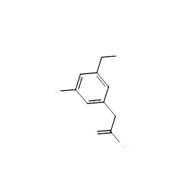 NC(=O)Cc1cc(Cl)cc(CF)c1